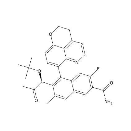 CC(=O)[C@@H](OC(C)(C)C)c1c(C)cc2cc(C(N)=O)c(F)cc2c1-c1ccc2c3c(ccnc13)CCO2